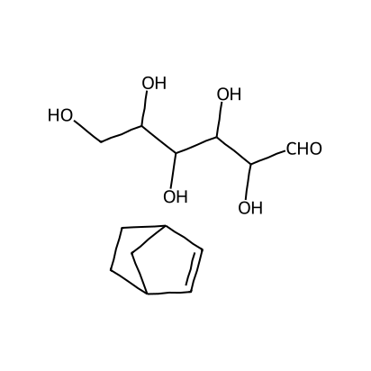 C1=CC2CCC1C2.O=CC(O)C(O)C(O)C(O)CO